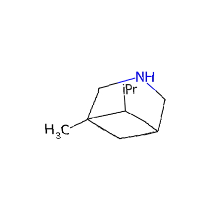 CC(C)C1C2CNCC1(C)C2